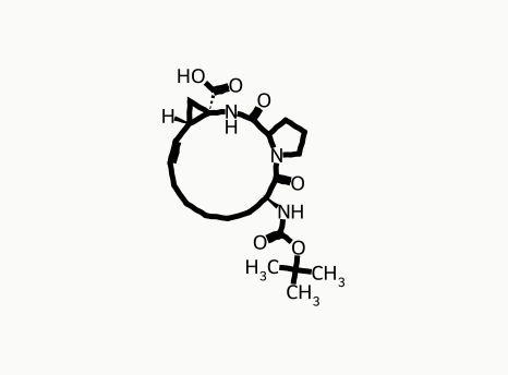 CC(C)(C)OC(=O)N[C@H]1CCCCC/C=C\[C@@H]2C[C@@]2(C(=O)O)NC(=O)C2CCCN2C1=O